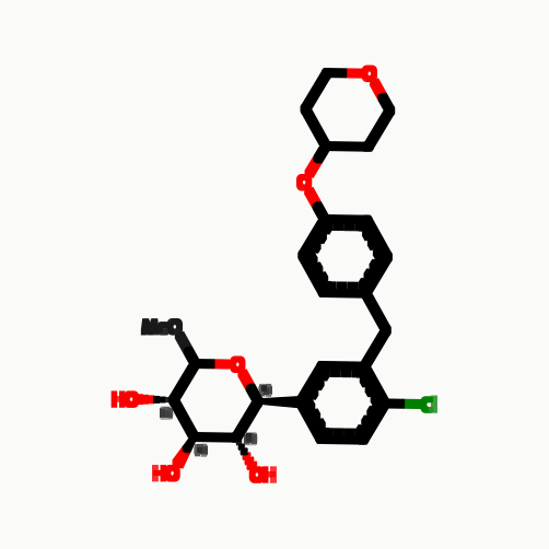 COC1O[C@@H](c2ccc(Cl)c(Cc3ccc(OC4CCOCC4)cc3)c2)[C@H](O)[C@@H](O)[C@@H]1O